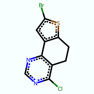 Clc1ncnc2c1CCc1sc(Br)cc1-2